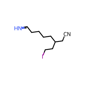 N#CCC(CCI)CCCCC=N